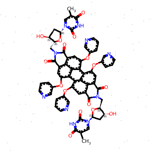 Cc1cn([C@@H]2C[C@@H](O)[C@H](CN3C(=O)c4cc(Oc5cccnc5)c5c6c(Oc7cccnc7)cc7c8c(cc(Oc9cccnc9)c(c9c(Oc%10cccnc%10)cc(c4c59)C3=O)c86)C(=O)N(C[C@H]3O[C@@H](n4cc(C)c(=O)[nH]c4=O)C[C@@H]3O)C7=O)O2)c(=O)[nH]c1=O